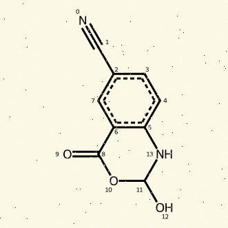 N#Cc1ccc2c(c1)C(=O)OC(O)N2